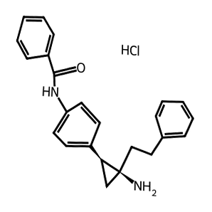 Cl.N[C@@]1(CCc2ccccc2)C[C@H]1c1ccc(NC(=O)c2ccccc2)cc1